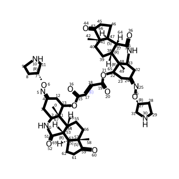 C[C@@]12C(CC(=NO[C@@H]3CCNC3)CC1OC(=O)/C=C/C(=O)OC1CC(=NO[C@@H]3CCNC3)CC3NC(=O)[C@@H]4[C@@H](CC[C@]5(C)C(=O)CC[C@@H]45)[C@]31C)NC(=O)[C@@H]1[C@H]2CC[C@]2(C)C(=O)CC[C@@H]12